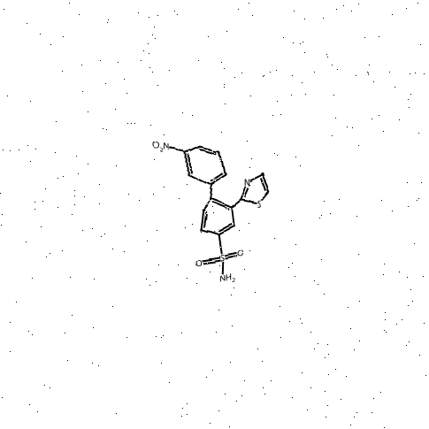 NS(=O)(=O)c1ccc(-c2cccc([N+](=O)[O-])c2)c(-c2nccs2)c1